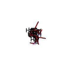 CCCCCC/C=C\CCCC(=O)O[C@H](CCCCCCC)CCOCC(COP(=O)(O)OCCNC(=O)[C@H]1OC(C)(C)O[C@H]1C(=O)NCCOP(=O)(O)OC[C@@H](COCC[C@@H](CCCCCCC)OC(=O)CCC/C=C\CCCCCC)NC(=O)CCCCCCCCCCCCC)NC(=O)CCCCCCCCCCCCC